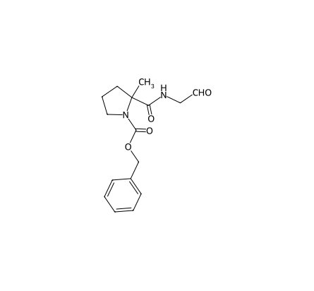 CC1(C(=O)NCC=O)CCCN1C(=O)OCc1ccccc1